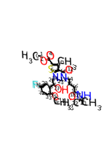 CCOC(=O)c1sc2c(c1C)C(=O)N(CCCC(=O)NC(C)C)CN2CC(O)c1cc(F)ccc1OC